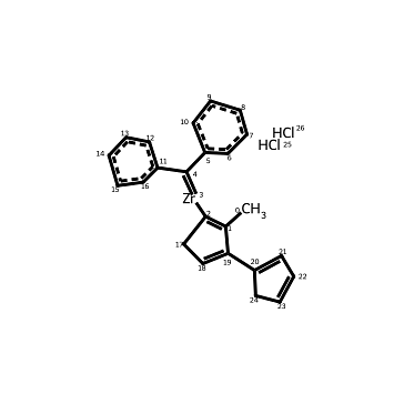 CC1=[C]([Zr]=[C](c2ccccc2)c2ccccc2)CC=C1C1=CC=CC1.Cl.Cl